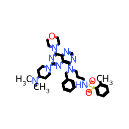 Cc1ccccc1S(=O)(=O)NCCCN(Cc1ccccc1)c1ncnc2c(N3CCOCC3)nc(N3CCC(N(C)C)CC3)nc12